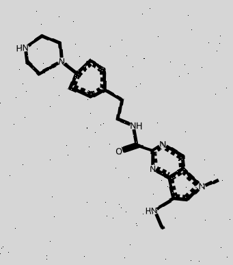 CNc1cn(C)c2cnc(C(=O)NCCc3ccc(N4CCNCC4)cc3)nc12